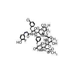 CC(=O)NC(=O)[C@H](Cc1ccccc1)N(C)C(=O)[C@H](CCS(C)(=O)=O)NC(=O)[C@@H](NC(=O)[C@H](C)NC(=O)CC(NC(=O)[C@H](Cc1cccc(Cl)c1)NC(=O)/C=C\c1ccc(O)c(F)c1)C(=O)N1CCC[C@H]1C(=O)O)[C@@H](C)O